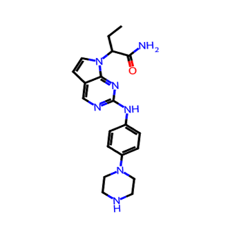 CCC(C(N)=O)n1ccc2cnc(Nc3ccc(N4CCNCC4)cc3)nc21